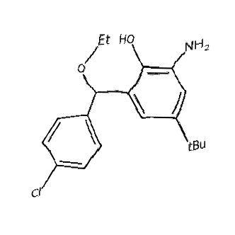 CCOC(c1ccc(Cl)cc1)c1cc(C(C)(C)C)cc(N)c1O